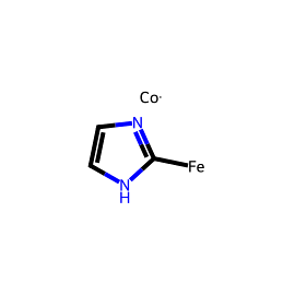 [Co].[Fe][c]1ncc[nH]1